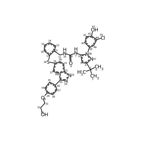 CC(C)(C)c1cc(NC(=O)NCc2ccccc2Sc2ccc3nnc(-c4ccc(OCCO)cc4)n3c2)n(-c2ccc(O)c(Cl)c2)n1